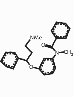 CNCCC(Oc1cccc(N(C)C(=O)c2ccccc2)c1)c1ccccc1